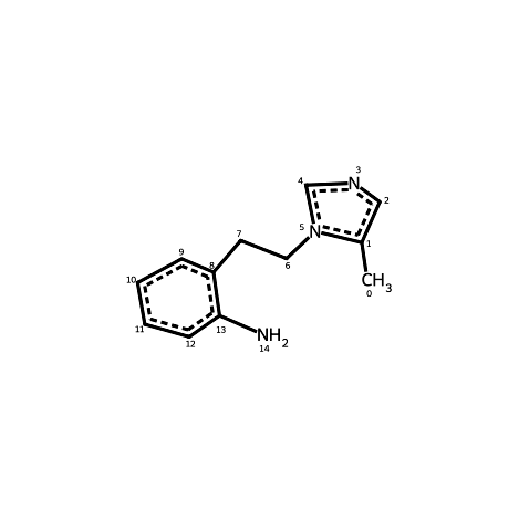 Cc1cncn1CCc1ccccc1N